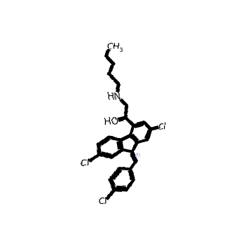 CCCCCNCC(O)c1cc(Cl)cc2c1-c1ccc(Cl)cc1/C2=C\c1ccc(Cl)cc1